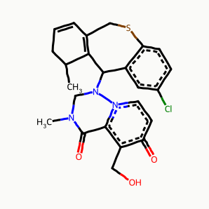 CC1CC=CC2=C1C(N1CN(C)C(=O)c3c(CO)c(=O)ccn31)c1cc(Cl)ccc1SC2